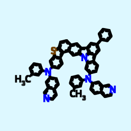 Cc1cccc(N(c2ccc3ccncc3c2)c2ccc3c(c2)sc2ccc4cc5c6cc(-c7ccccc7)cc7c8ccc(N(c9cccc(C)c9)c9ccc%10ccncc%10c9)cc8n(c5cc4c23)c76)c1